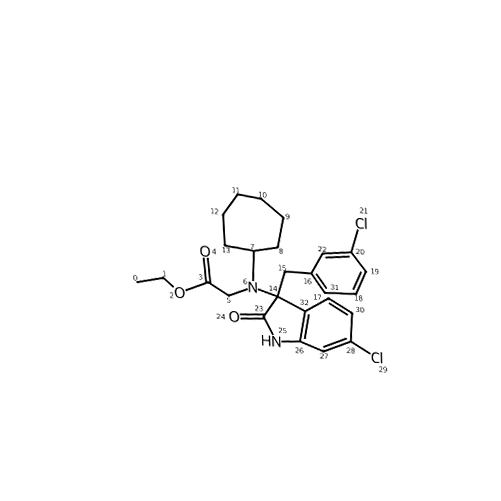 CCOC(=O)CN(C1CCCCCC1)C1(Cc2cccc(Cl)c2)C(=O)Nc2cc(Cl)ccc21